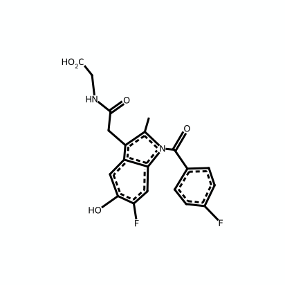 Cc1c(CC(=O)NCC(=O)O)c2cc(O)c(F)cc2n1C(=O)c1ccc(F)cc1